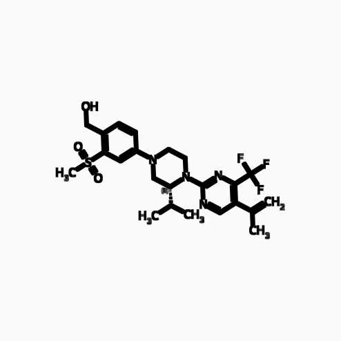 C=C(C)c1cnc(N2CCN(c3ccc(CO)c(S(C)(=O)=O)c3)C[C@H]2C(C)C)nc1C(F)(F)F